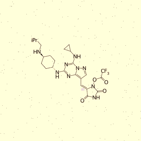 CC(C)CN[C@H]1CC[C@H](Nc2nc(NC3CC3)n3ncc(/C=C4/C(=O)NC(=O)N4OC(=O)C(F)(F)F)c3n2)CC1